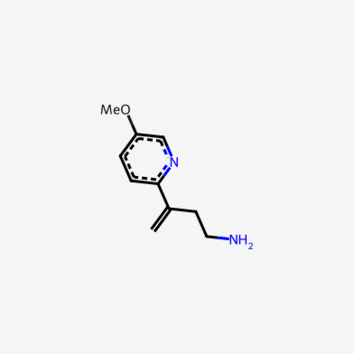 C=C(CCN)c1ccc(OC)cn1